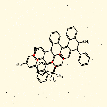 C[C@@H]1c2ccccc2-c2c(-c3ccccc3N(c3ccccc3-c3cccc4cccc(-c5cc(C(C)(C)C)cc(C(C)(C)C)c5)c34)c3cccc4c3-c3ccccc3C4(C)C)cccc2N1c1ccccc1